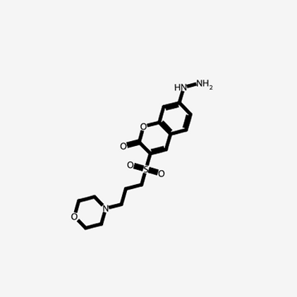 NNc1ccc2cc(S(=O)(=O)CCCN3CCOCC3)c(=O)oc2c1